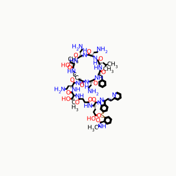 CNC(=O)c1ccccc1Sc1ccc2c(/C=C/c3ccccn3)nn(C(=O)[C@H](CCC(=O)O)NC(=O)CCC(=O)N[C@H](C(=O)N[C@@H](CCN)C(=O)N[C@H]3CCNC(=O)[C@H]([C@@H](C)O)NC(=O)[C@H](CCN)NC(=O)[C@H](CCN)NC(=O)[C@H](CC(C)C)NC(=O)[C@@H](Cc4ccccc4)NC(=O)[C@H](CCN)NC3=O)[C@@H](C)O)c2c1